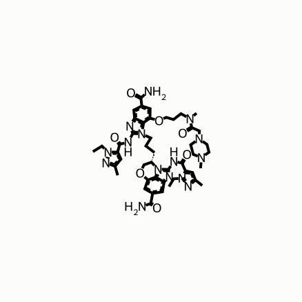 CCn1nc(C)cc1C(=O)Nc1nc2cc(C(N)=O)cc(OCCCN(C)C(=O)CN3CCN(C)CC3)c2n1CCC[C@H]1COc2cc(C(N)=O)cc3nc(NC(=O)c4cc(C)nn4CC)n1c23